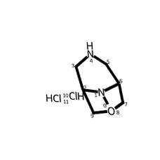 CN1C2CNCC1COC2.Cl.Cl